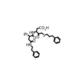 CC(C)C(CC(=O)NCCc1ccccc1)C(=O)NC(CC(=O)O)C(=O)CSCCCc1ccccc1